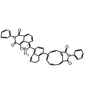 CC1=c2c(ccc/c2=C(/C)c2ccc(-c3ccccc4cc(cc3)C(=O)N(c3ccccc3)C4=O)c3c2C=CCC3)C(=O)N(c2ccccc2)C1=O